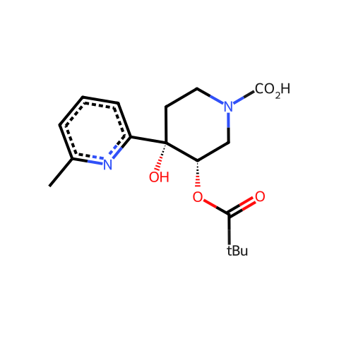 Cc1cccc([C@@]2(O)CCN(C(=O)O)C[C@@H]2OC(=O)C(C)(C)C)n1